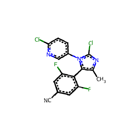 Cc1nc(Cl)n(-c2ccc(Cl)nc2)c1-c1c(F)cc(C#N)cc1F